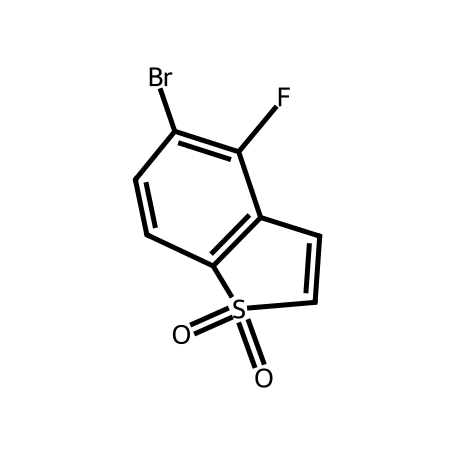 O=S1(=O)C=Cc2c1ccc(Br)c2F